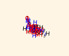 C[C@@H](O)[C@@H]1NC(=O)[C@@H](NC[C@H]2CC[C@H](c3nnc(-c4ccc(-c5cnc(N6CCC(OCC7CCC7)CC6)nc5)cc4)s3)CC2)C[C@@H](O)CNC(=O)[C@@H]2[C@@H](O)[C@@H](C)CN2C(=O)[C@H]([C@H](O)CC(N)=O)NC(=O)[C@H]([C@H](O)Cc2ccc(O)c(OS(=O)(=O)O)c2)NC(=O)[C@@H]2C[C@@H](O)CN2C1=O